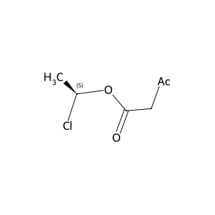 CC(=O)CC(=O)O[C@H](C)Cl